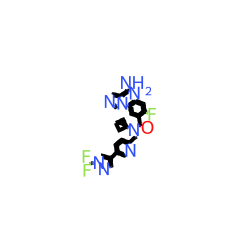 Nc1nc2cc(F)c(C(=O)N(Cc3ccc(-c4cnn(C(F)F)c4)cn3)C34CC(C3)C4)cc2n2cncc12